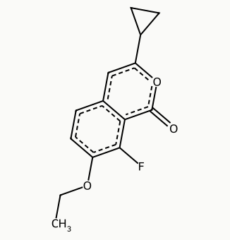 CCOc1ccc2cc(C3CC3)oc(=O)c2c1F